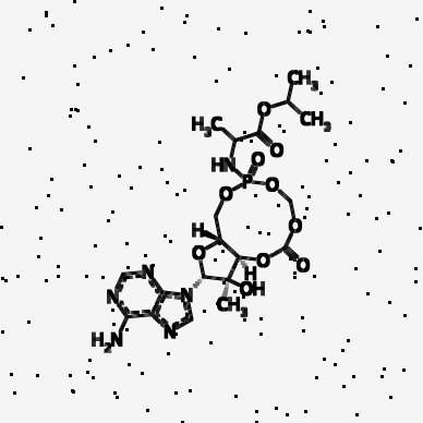 CC(C)OC(=O)C(C)NP1(=O)OCOC(=O)O[C@@H]2[C@@H](CO1)O[C@@H](n1cnc3c(N)ncnc31)[C@]2(C)O